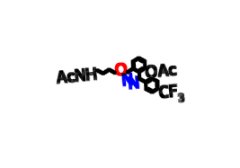 CC(=O)NCCCCOc1nnc(-c2ccc(C(F)(F)F)cc2OC(C)=O)c2ccccc12